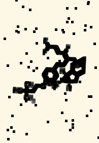 CC(C)(O)CCOc1ccc(/C=C/C(COC23C=C4C[C@H]5[C@H](C(=O)O)[C@H]5C4=CC2C3)=C(F)\C=C\C(F)F)cc1F